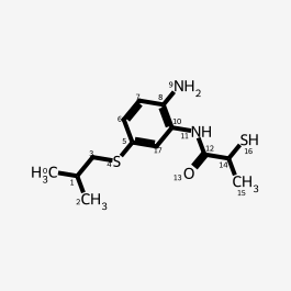 CC(C)CSc1ccc(N)c(NC(=O)C(C)S)c1